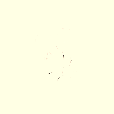 C[C@H]1[C@H](O)[C@@H](O[Si](c2ccccc2)(c2ccccc2)C(C)(C)C)[C@@H]2OC[C@H]1O2